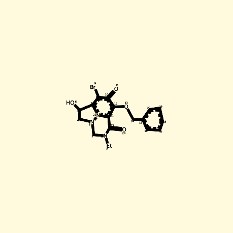 CCN1CN2CC(O)c3c(Br)c(=O)c(OCc4ccccc4)c(n32)C1=O